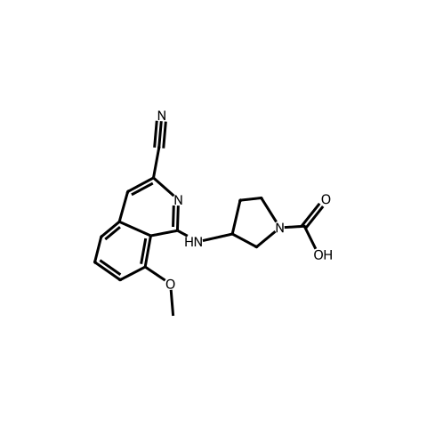 COc1cccc2cc(C#N)nc(NC3CCN(C(=O)O)C3)c12